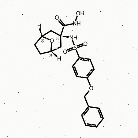 O=C(NO)[C@@]1(NS(=O)(=O)c2ccc(OCc3ccccc3)cc2)C[C@H]2CC[C@@H](C1)O2